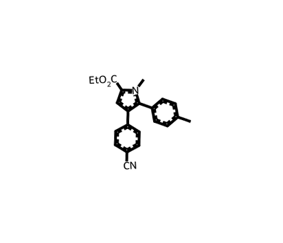 CCOC(=O)c1cc(-c2ccc(C#N)cc2)c(-c2ccc(C)cc2)n1C